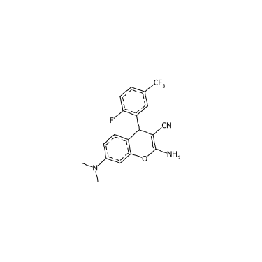 CN(C)c1ccc2c(c1)OC(N)=C(C#N)C2c1cc(C(F)(F)F)ccc1F